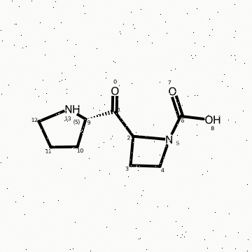 O=C(C1CCN1C(=O)O)[C@@H]1CCCN1